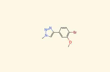 COc1cc(-c2cn(C)nn2)ccc1Br